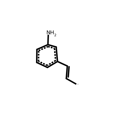 [CH2]/C=C/c1cccc(N)c1